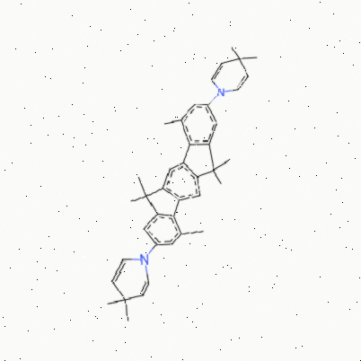 Cc1cc(N2C=CC(C)(C)C=C2)cc2c1-c1cc3c(cc1C2(C)C)-c1c(C)cc(N2C=CC(C)(C)C=C2)cc1C3(C)C